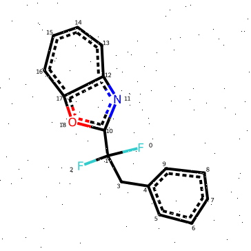 FC(F)(Cc1cc[c]cc1)c1nc2ccccc2o1